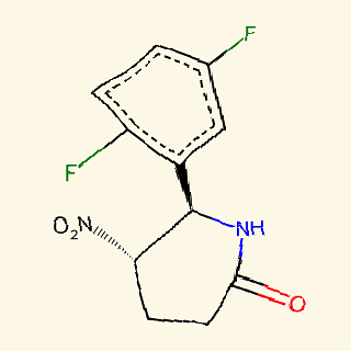 O=C1CC[C@H]([N+](=O)[O-])[C@@H](c2cc(F)ccc2F)N1